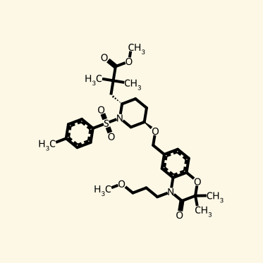 COCCCN1C(=O)C(C)(C)Oc2ccc(CO[C@@H]3CC[C@@H](CC(C)(C)C(=O)OC)N(S(=O)(=O)c4ccc(C)cc4)C3)cc21